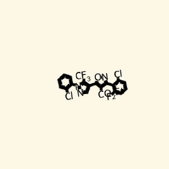 CCOC(=O)c1c(-c2c(F)cccc2Cl)noc1-c1cnn(-c2ccccc2Cl)c1C(F)(F)F